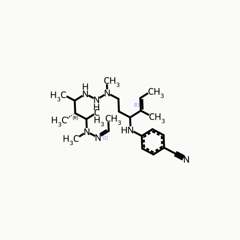 C/C=N\N(C)C(C)[C@H](C)C(C)NNN(C)CCC(Nc1ccc(C#N)cc1)/C(C)=C/C